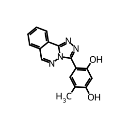 Cc1cc(-c2nnc3c4ccccc4cnn23)c(O)cc1O